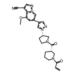 C=CC(=O)N1CCC[C@H](C(=O)N2CC[C@H](n3cc(-c4cc(OC)c5c(C#N)cnn5c4)cn3)C2)C1